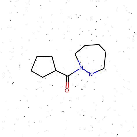 O=C(C1CCCC1)N1CCCCC[N]1